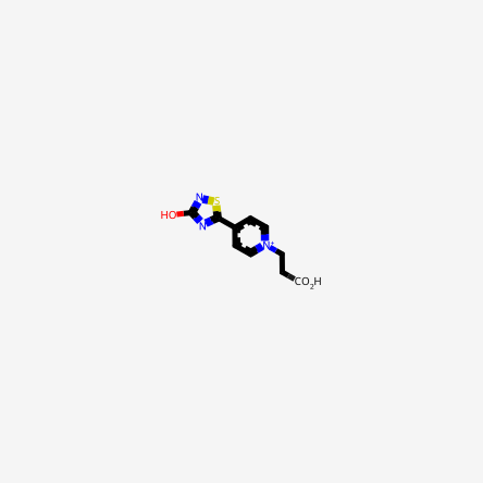 O=C(O)CC[n+]1ccc(-c2nc(O)ns2)cc1